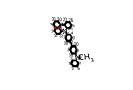 CN(c1ccccc1)c1ccc(-c2ccc(N(c3ccccc3)c3ccccc3-c3ccccc3)cc2)cc1